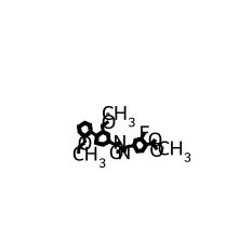 CCOc1ccccc1-c1ccc(-c2nc(-c3ccc(C(=O)OC)c(F)c3)no2)cc1COC